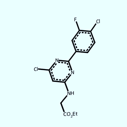 CCOC(=O)CNc1cc(Cl)nc(-c2ccc(Cl)c(F)c2)n1